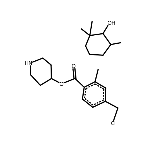 CC1CCCC(C)(C)C1O.Cc1cc(CCl)ccc1C(=O)OC1CCNCC1